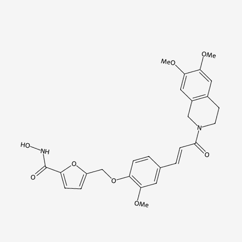 COc1cc2c(cc1OC)CN(C(=O)C=Cc1ccc(OCc3ccc(C(=O)NO)o3)c(OC)c1)CC2